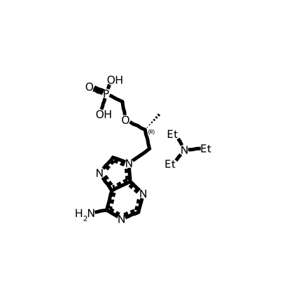 CCN(CC)CC.C[C@H](Cn1cnc2c(N)ncnc21)OCP(=O)(O)O